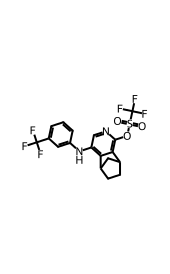 O=S(=O)(Oc1ncc(Nc2cccc(C(F)(F)F)c2)c2c1C1CCC2C1)C(F)(F)F